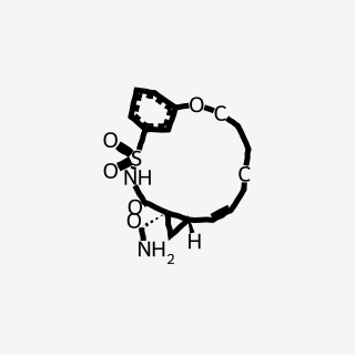 NC(=O)[C@@]12C[C@H]1/C=C\CCCCCOc1cccc(c1)S(=O)(=O)NC2=O